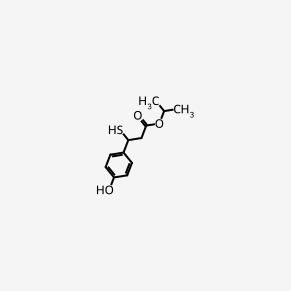 CC(C)OC(=O)CC(S)c1ccc(O)cc1